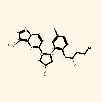 C[C@@H](CCN)Oc1ccc(F)cc1[C@H]1C[C@H](F)CN1c1ccn2ncc(C(=O)O)c2n1